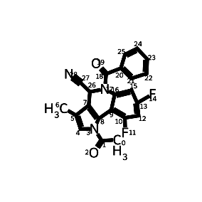 CC(=O)n1cc(C)c2c1-c1c(F)cc(F)cc1N(C(=O)c1ccccc1)C2C#N